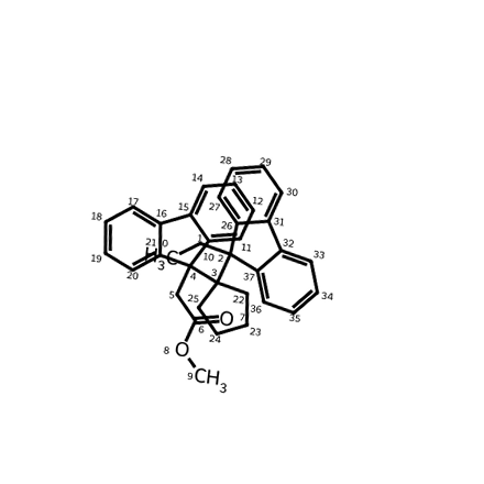 CCC1(C2(C3(CC(=O)OC)c4ccccc4-c4ccccc43)CCCC2)c2ccccc2-c2ccccc21